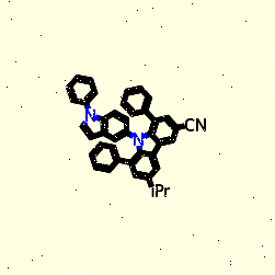 CC(C)c1cc(-c2ccccc2)c2c(c1)c1cc(C#N)cc(-c3ccccc3)c1n2-c1ccc2c(ccn2-c2ccccc2)c1